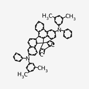 Cc1cc(C)cc(N(c2ccccc2)c2ccc3c4c(ccc3c2)-c2c(c3ccc(N(c5ccccc5)c5cc(C)cc(C)c5)cc3c3ccccc23)C42c3ccccc3-c3ccccc32)c1